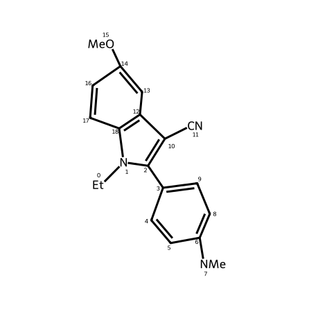 CCn1c(-c2ccc(NC)cc2)c(C#N)c2cc(OC)ccc21